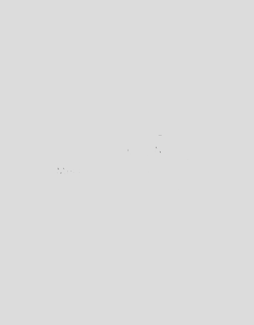 CCN1C(=O)/C(=C\c2ccc(OC)cc2)c2ccccc21